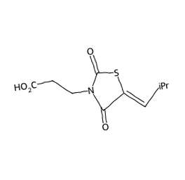 CC(C)/C=C1\SC(=O)N(CCC(=O)O)C1=O